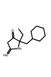 N=C1CC(=O)C(CI)(CC2CCCCC2)N1